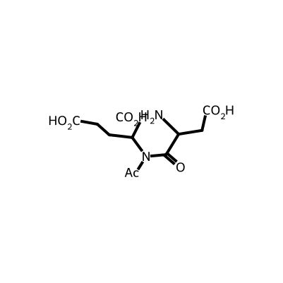 CC(=O)N(C(=O)C(N)CC(=O)O)C(CCC(=O)O)C(=O)O